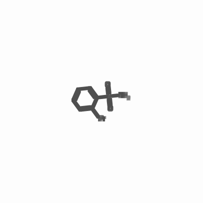 CC(C)c1ccccc1S(N)(=O)=O